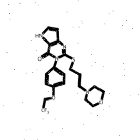 O=c1c2[nH]ccc2nc(SCCCN2CCOCC2)n1-c1ccc(OCC(F)(F)F)cc1